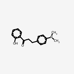 CN(C)c1ccc(CCC(=O)c2ccccc2O)cc1